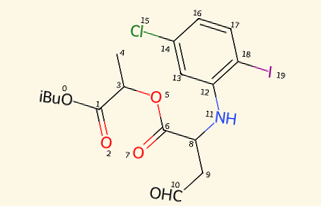 CC(C)COC(=O)C(C)OC(=O)C(CC=O)Nc1cc(Cl)ccc1I